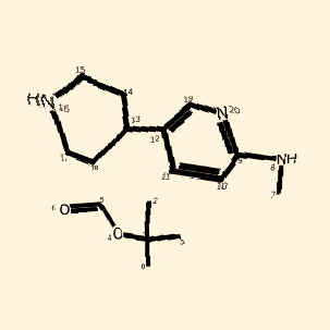 CC(C)(C)OC=O.CNc1ccc(C2CCNCC2)cn1